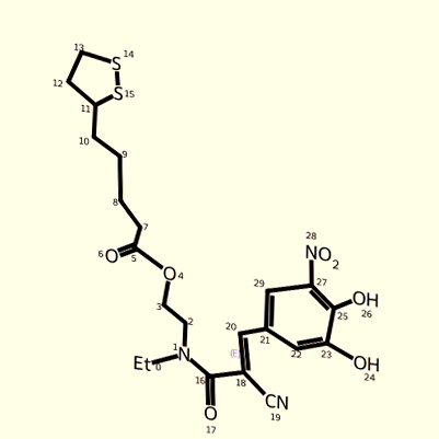 CCN(CCOC(=O)CCCCC1CCSS1)C(=O)/C(C#N)=C/c1cc(O)c(O)c([N+](=O)[O-])c1